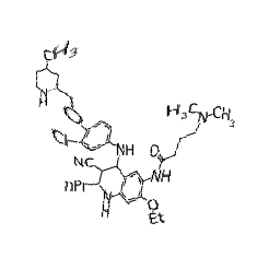 CCCC1Nc2cc(OCC)c(NC(=O)CCCN(C)C)cc2C(Nc2ccc(OCC3CC(C)CCN3)c(Cl)c2)C1C#N